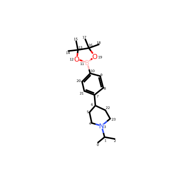 CC(C)N1CCC(c2ccc(B3OC(C)(C)C(C)(C)O3)cc2)CC1